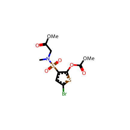 COC(=O)CN(C)S(=O)(=O)c1cc(Br)sc1OC(=O)OC